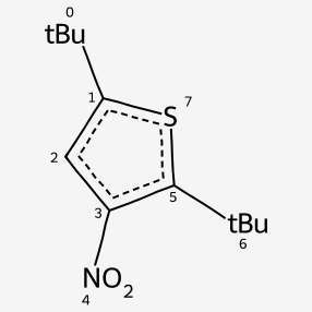 CC(C)(C)c1cc([N+](=O)[O-])c(C(C)(C)C)s1